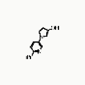 CC(C)c1ccc(N2CCC(O)C2)cn1